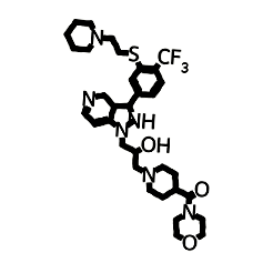 O=C(C1CCN(CC(O)CN2NC(c3ccc(C(F)(F)F)c(SCCN4CCCCC4)c3)C3CN=CC=C32)CC1)N1CCOCC1